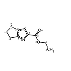 CCOC(=O)c1cn2c(n1)CCS2